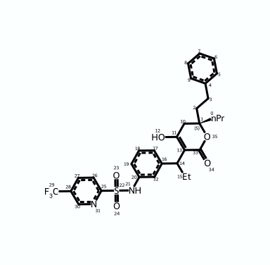 CCC[C@]1(CCc2ccccc2)CC(O)=C(C(CC)c2cccc(NS(=O)(=O)c3ccc(C(F)(F)F)cn3)c2)C(=O)O1